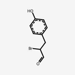 O=CC(Br)Cc1ccc(O)cc1